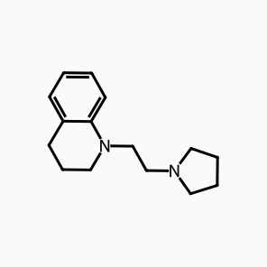 c1ccc2c(c1)CCCN2CCN1CCCC1